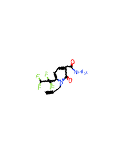 C#CCn1c(C(F)(F)C(F)F)ccc(C(N)=O)c1=O